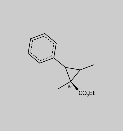 CCOC(=O)[C@]1(C)C(C)C1c1ccccc1